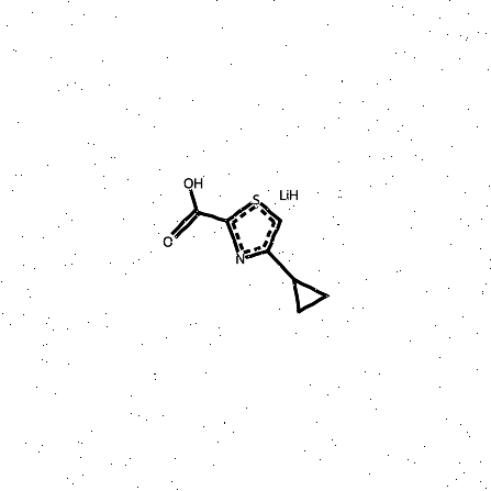 O=C(O)c1nc(C2CC2)cs1.[LiH]